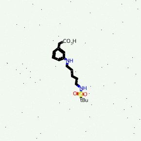 CC(C)(C)S(=O)(=O)NCCCCCNc1cccc(CC(=O)O)c1